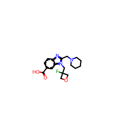 O=C(O)c1ccc2nc(CN3CCCCC3)n(CC3(F)COC3)c2c1